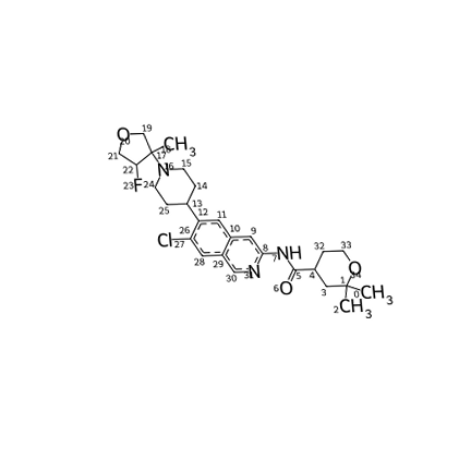 CC1(C)CC(C(=O)Nc2cc3cc(C4CCN(C5(C)COCC5F)CC4)c(Cl)cc3cn2)CCO1